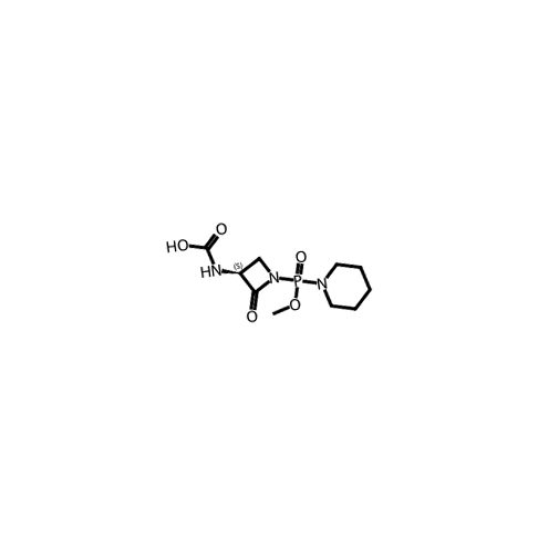 COP(=O)(N1CCCCC1)N1C[C@H](NC(=O)O)C1=O